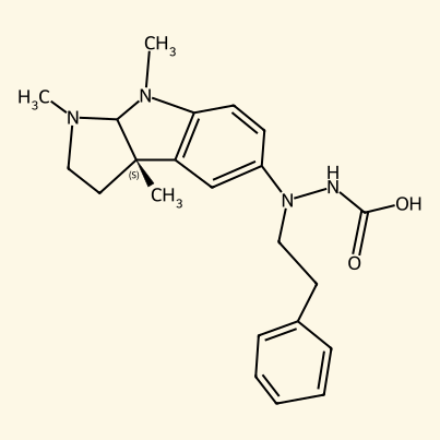 CN1CC[C@@]2(C)c3cc(N(CCc4ccccc4)NC(=O)O)ccc3N(C)C12